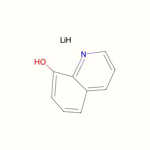 Oc1cccc2cccnc12.[LiH]